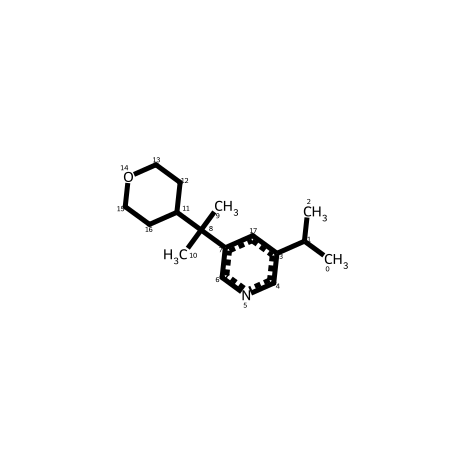 CC(C)c1cncc(C(C)(C)C2CCOCC2)c1